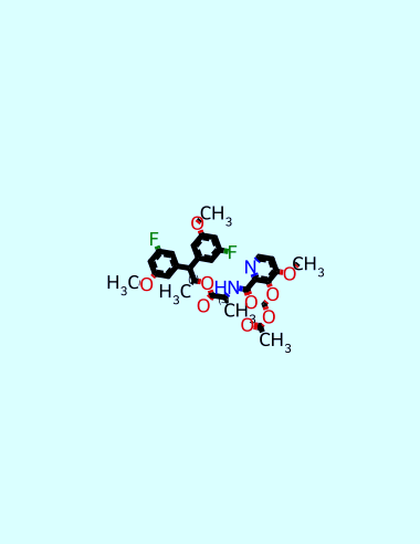 COc1cc(F)cc(C(c2cc(F)cc(OC)c2)[C@H](C)OC(=O)[C@H](C)NC(=O)c2nccc(OC)c2OCOC(C)=O)c1